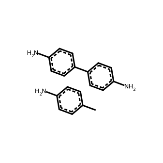 Cc1ccc(N)cc1.Nc1ccc(-c2ccc(N)cc2)cc1